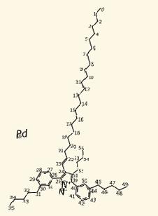 CCCCCCCCCCCCCCCCCCCCCCC=CC1=C(c2cccc(CCCCC)c2)[N+](=[N-])C(c2cccc(CCCCC)c2)=C1CCCC.[Pd]